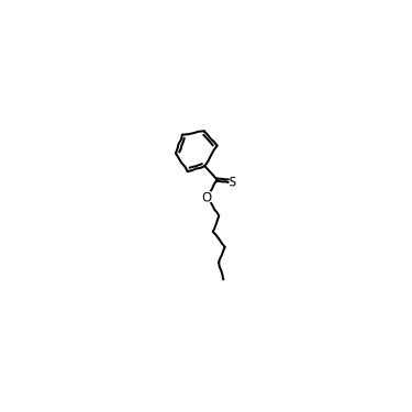 CCCCCOC(=S)c1ccccc1